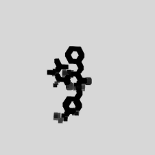 CC(C)N(C)[C@@H](C)C(=O)N[C@@H](CC1CCCCC1)C(=O)NCc1ccc(N)nc1